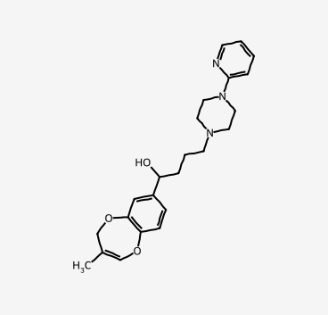 CC1=COc2ccc(C(O)CCCN3CCN(c4ccccn4)CC3)cc2OC1